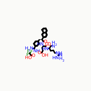 N=C(N)NCCCC(NC(=O)C(CCC(=O)O)NC(=O)[C@@H](Cc1ccc(C(=N)N)cc1)c1ccc2ccccc2c1)C(N)=O.O=C(O)C(F)(F)F